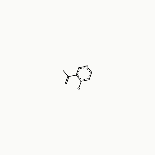 C=C(C)c1cncc[n+]1[O-]